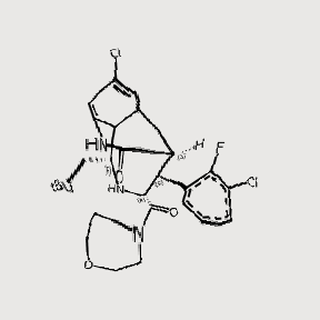 CC(C)(C)C[C@H]1N[C@@H](C(=O)N2CCOCC2)[C@H](c2cccc(Cl)c2F)[C@@H]2CC3C=C(Cl)C=C(NC2=O)C31